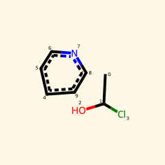 CC(O)Cl.c1ccncc1